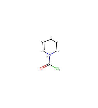 O=C(Cl)N1C=CCCC1